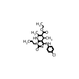 C=CCn1c2c(c(Nc3ccc(Cl)cc3)nc1=O)C(C)C(C(=O)OCC)=C(C)N2